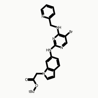 CC(C)(C)OC(=O)Cn1ccc2ccc(Nc3ncc(Br)c(NCc4ccccn4)n3)cc21